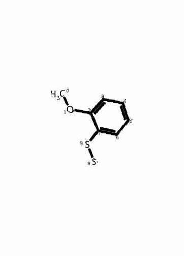 COc1ccccc1S[S]